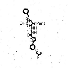 CCCCCC(CN(C=O)OCc1ccccc1)C(=O)NCNC(=O)c1ccc(-c2cccc(OCC(F)F)c2)o1